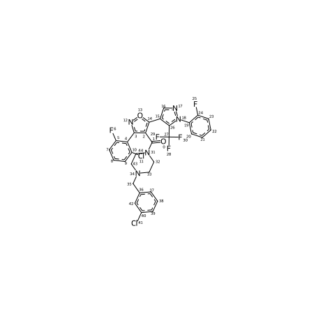 O=C(c1c(-c2c(F)cccc2Cl)noc1-c1cnn(-c2ccccc2F)c1C(F)(F)F)N1CCN(Cc2cccc(Cl)c2)CC1